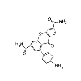 NC(=O)c1ccc2c(=O)c3c(-c4ccc(N)cc4)cc(C(N)=O)cc3sc2c1